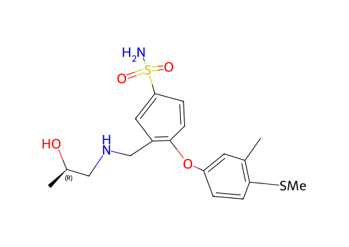 CSc1ccc(Oc2ccc(S(N)(=O)=O)cc2CNC[C@@H](C)O)cc1C